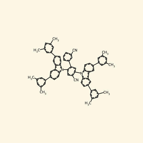 Cc1cc(C)cc(-c2ccc3c(c2)c2cc(-c4cc(C)cc(C)c4)ccc2n3-c2cc(-c3cccc(C#N)c3)c(-n3c4ccc(-c5cc(C)cc(C)c5)cc4c4cc(-c5cc(C)cc(C)c5)ccc43)cc2C#N)c1